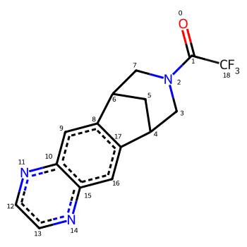 O=C(N1CC2CC(C1)c1cc3nccnc3cc12)C(F)(F)F